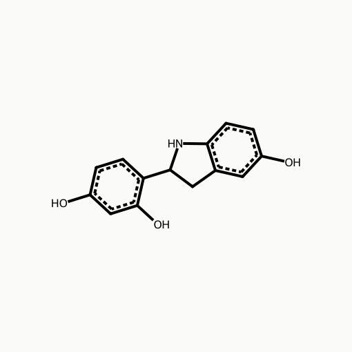 Oc1ccc(C2Cc3cc(O)ccc3N2)c(O)c1